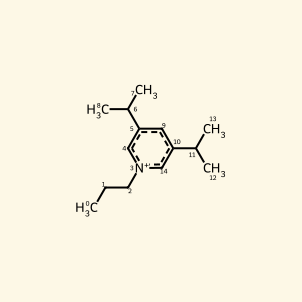 CCC[n+]1cc(C(C)C)cc(C(C)C)c1